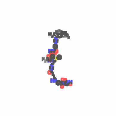 C=C(CCC)C1=C(CN2CCN(c3ccc(C(=O)NS(=O)(=O)c4ccc(N[C@H](CCN5CCN(C(=O)CCCCCNc6ccc7c(c6)C(=O)N(C6CCC(=O)NC6=O)C7=O)CC5)CSc5ccccc5)c(S(=O)(=O)C(F)(F)F)c4)cc3)CC2)CCC(C)(C)C1